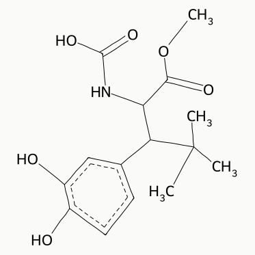 COC(=O)C(NC(=O)O)C(c1ccc(O)c(O)c1)C(C)(C)C